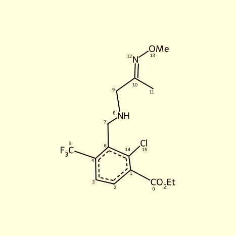 CCOC(=O)c1ccc(C(F)(F)F)c(CNC/C(C)=N/OC)c1Cl